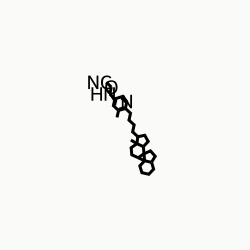 Cc1cc(NOC#N)cnc1CCCCC1CCC2C1(C)CCC1C34CCCCC3CCC214